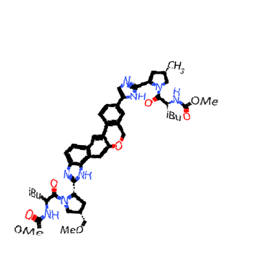 CCC(C)C(NC(=O)OC)C(=O)N1C[C@@H](COC)C[C@H]1c1nc2ccc3cc4c(cc3c2[nH]1)OCc1cc(-c2cnc(C3C[C@H](C)CN3C(=O)[C@@H](NC(=O)OC)[C@@H](C)CC)[nH]2)ccc1-4